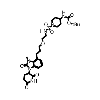 Cn1c(=O)n(C2CCC(=O)NC2=O)c2cccc(CCCOCCNS(=O)(=O)N3CCC(NC(=O)OC(C)(C)C)CC3)c21